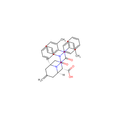 C=C1C[C@H]2CN(C(=O)N(c3ccccc3C)c3ccccc3C)[C@H](C(=O)O)[C@@H](C1)N2C(=O)N(c1ccccc1)c1ccccc1